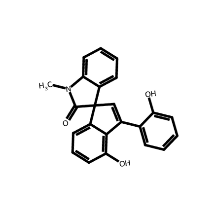 CN1C(=O)C2(C=C(c3ccccc3O)c3c(O)cccc32)c2ccccc21